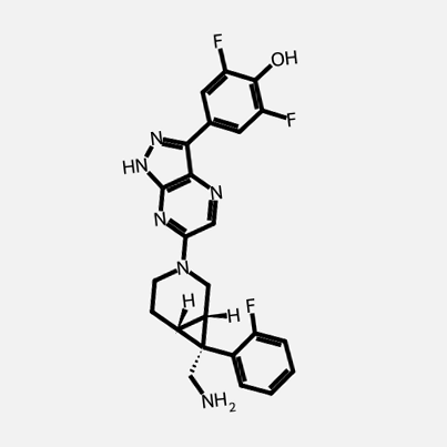 NC[C@]1(c2ccccc2F)[C@@H]2CCN(c3cnc4c(-c5cc(F)c(O)c(F)c5)n[nH]c4n3)C[C@@H]21